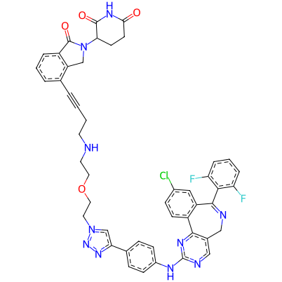 O=C1CCC(N2Cc3c(C#CCCNCCOCCn4cc(-c5ccc(Nc6ncc7c(n6)-c6ccc(Cl)cc6C(c6c(F)cccc6F)=NC7)cc5)nn4)cccc3C2=O)C(=O)N1